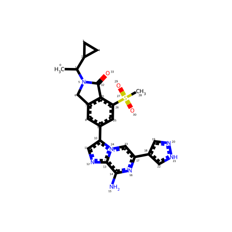 CC(C1CC1)N1Cc2cc(-c3cnc4c(N)nc(-c5cn[nH]c5)cn34)cc(S(C)(=O)=O)c2C1=O